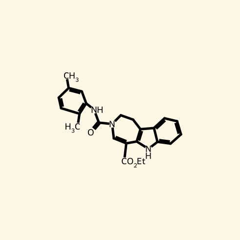 CCOC(=O)C1=CN(C(=O)Nc2cc(C)ccc2C)CCc2c1[nH]c1ccccc21